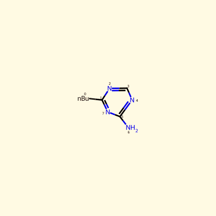 CCCCc1ncnc(N)n1